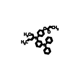 C=C/C=C(\C=C)N(C1=CC=C(OC(=O)C=C)CC1)c1cccc(N(c2ccccc2)c2ccccc2)c1